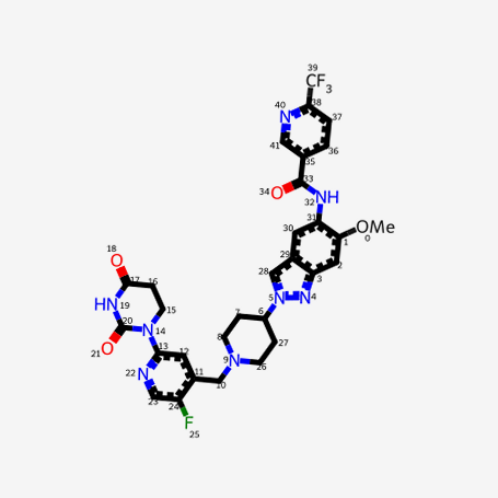 COc1cc2nn(C3CCN(Cc4cc(N5CCC(=O)NC5=O)ncc4F)CC3)cc2cc1NC(=O)c1ccc(C(F)(F)F)nc1